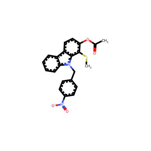 CSc1c(OC(C)=O)ccc2c3ccccc3n(Cc3ccc([N+](=O)[O-])cc3)c12